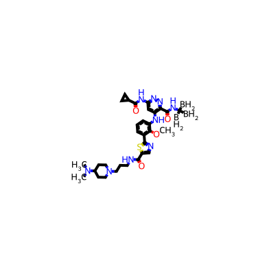 BC(B)(B)NC(=O)c1nnc(NC(=O)C2CC2)cc1Nc1cccc(-c2ncc(C(=O)NCCCN3CCC(N(C)C)CC3)s2)c1OC